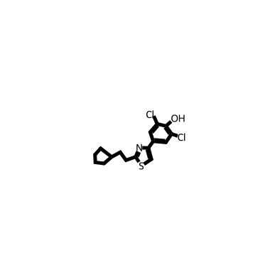 Oc1c(Cl)cc(-c2csc(CCC3CCCC3)n2)cc1Cl